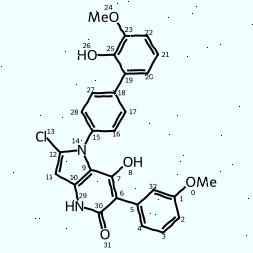 COc1cccc(-c2c(O)c3c(cc(Cl)n3-c3ccc(-c4cccc(OC)c4O)cc3)[nH]c2=O)c1